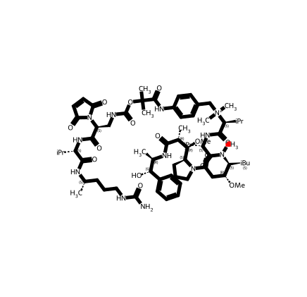 CC[C@H](C)[C@@H]([C@@H](CC(=O)N1CCC[C@H]1[C@H](OC)[C@@H](C)C(=O)N[C@H](C)[C@@H](O)c1ccccc1)OC)N(C)C(=O)[C@@H](NC(=O)[C@H](C(C)C)[N+](C)(C)Cc1ccc(NC(=O)C(C)(C)OC(=O)NC[C@@H](C(=O)N[C@H](C(=O)N[C@@H](C)CCCNC(N)=O)C(C)C)N2C(=O)C=CC2=O)cc1)C(C)C